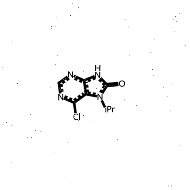 CC(C)n1c(=O)[nH]c2ncnc(Cl)c21